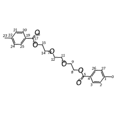 Cc1ccc(C(=O)OCCOCCOCCOC(=O)c2ccc(C)cc2)cc1